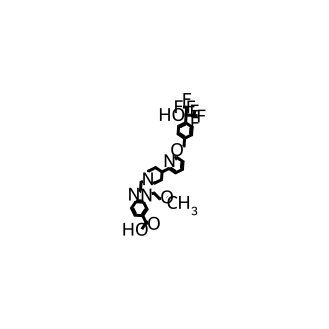 COCCn1c(CN2CCC(c3cccc(OCc4ccc(C(O)(C(F)(F)F)C(F)(F)F)cc4)n3)CC2)nc2ccc(C(=O)O)cc21